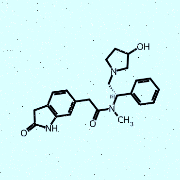 CN(C(=O)Cc1ccc2c(c1)NC(=O)C2)[C@H](CN1CCC(O)C1)c1ccccc1